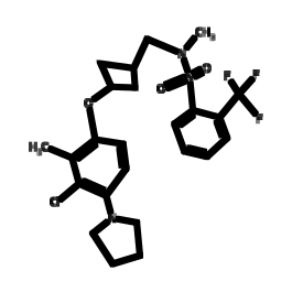 Cc1c(OC2CC(CN(C)S(=O)(=O)c3ccccc3C(F)(F)F)C2)ccc(N2CCCC2)c1Cl